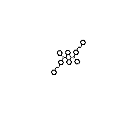 C(=C\c1ccc(N(c2ccccc2)c2c3ccccc3c(N(c3ccccc3)c3ccc(/C=C/c4ccccc4)cc3)c3ccccc23)cc1)/c1ccccc1